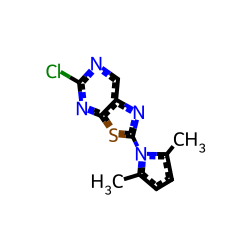 Cc1ccc(C)n1-c1nc2cnc(Cl)nc2s1